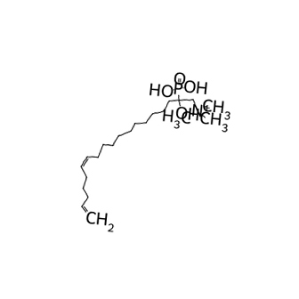 C=CCCC/C=C\CCCCCCCCCCC(O)(C[N+](C)(C)C)P(=O)(O)O